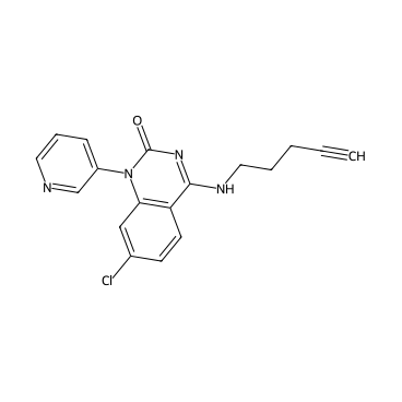 C#CCCCNc1nc(=O)n(-c2cccnc2)c2cc(Cl)ccc12